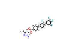 CC[C@H](N)C1COC(c2ccc(-c3ccc(-c4cc(F)c(F)c(F)c4)c(F)c3)cc2)OC1